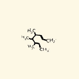 [CH2]C=CC(C)C(C)C(C)C[CH2]